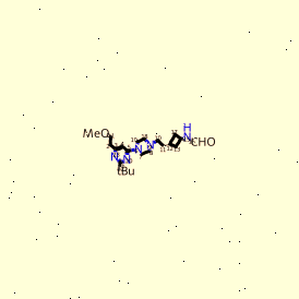 COCCc1cc(N2CCN(CC[C@H]3C[C@H](NC=O)C3)CC2)nc(C(C)(C)C)n1